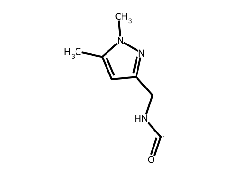 Cc1cc(CN[C]=O)nn1C